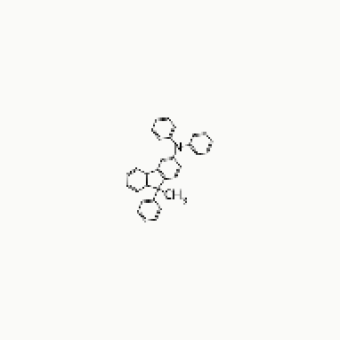 CC1(c2ccccc2)c2ccc(N(c3ccccc3)c3ccccc3)cc2C2C=CC=CC21